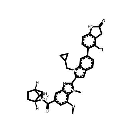 COc1cc(C(=O)N2C[C@H]3CC[C@@H]2[C@@H]3N)cc2nc(-c3cc4ccc(-c5ccc6c(c5Cl)CC(=O)N6)cc4n3CC3CC3)n(C)c12